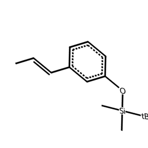 C/C=C/c1cccc(O[Si](C)(C)C(C)(C)C)c1